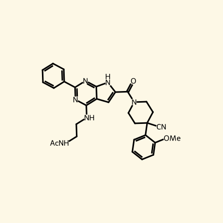 COc1ccccc1C1(C#N)CCN(C(=O)c2cc3c(NCCNC(C)=O)nc(-c4ccccc4)nc3[nH]2)CC1